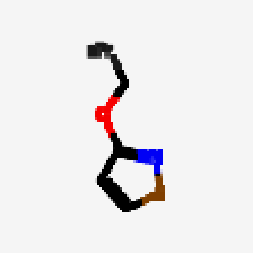 CCCCOc1ccsn1